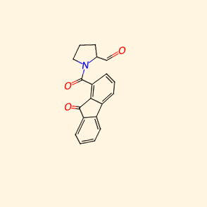 O=CC1CCCN1C(=O)c1cccc2c1C(=O)c1ccccc1-2